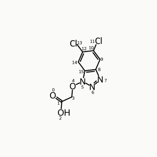 O=C(O)COn1nnc2cc(Cl)c(Cl)cc21